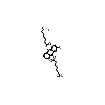 CCCCCCC(=O)Oc1c2ccccc2c(OC(=O)CCCCCC)c2cc(Cl)ccc12